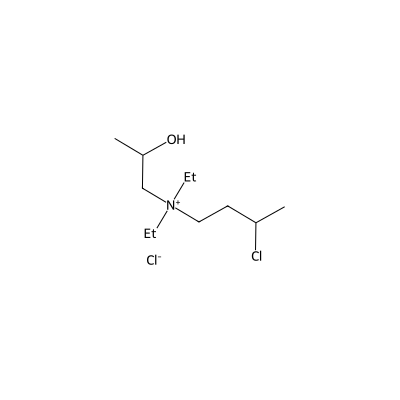 CC[N+](CC)(CCC(C)Cl)CC(C)O.[Cl-]